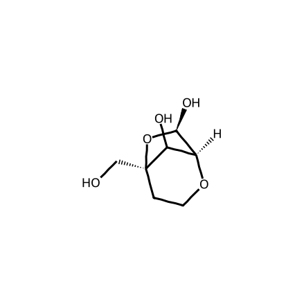 OC[C@@]12CCO[C@@H](C1O)[C@H](O)O2